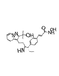 CC[C@H](C(=N)CCc1c(C(C)(C)O)nn2ccccc12)c1ccc(/C=C/C(=O)NO)cc1